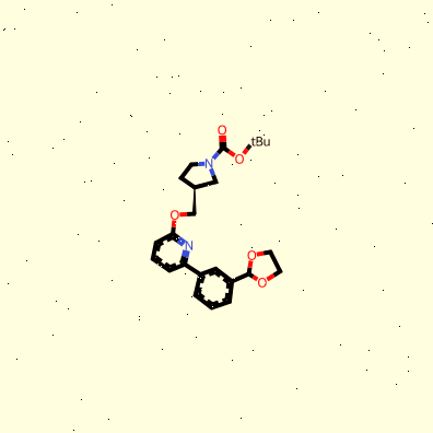 CC(C)(C)OC(=O)N1CC[C@H](COc2cccc(-c3cccc(C4OCCO4)c3)n2)C1